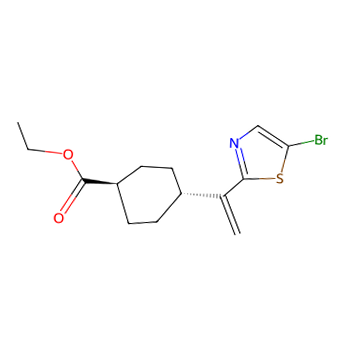 C=C(c1ncc(Br)s1)[C@H]1CC[C@H](C(=O)OCC)CC1